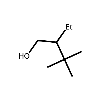 CCC(CO)C(C)(C)C